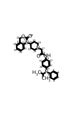 CC(C)N(c1ccccc1)c1ccc(NC(=O)CN2CCC(N3C(=O)OCc4ccccc43)CC2)cc1